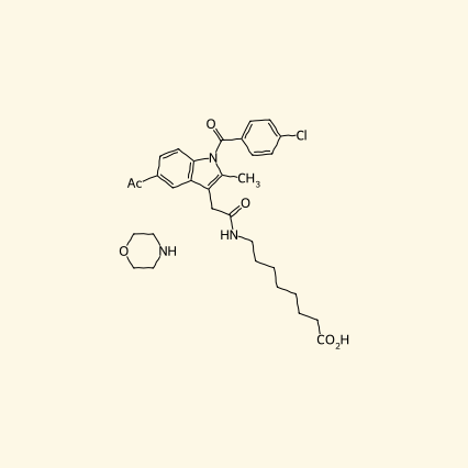 C1COCCN1.CC(=O)c1ccc2c(c1)c(CC(=O)NCCCCCCCC(=O)O)c(C)n2C(=O)c1ccc(Cl)cc1